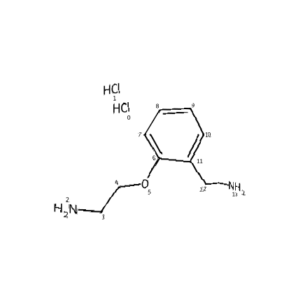 Cl.Cl.NCCOc1ccccc1CN